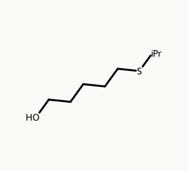 CC(C)SCCCCCO